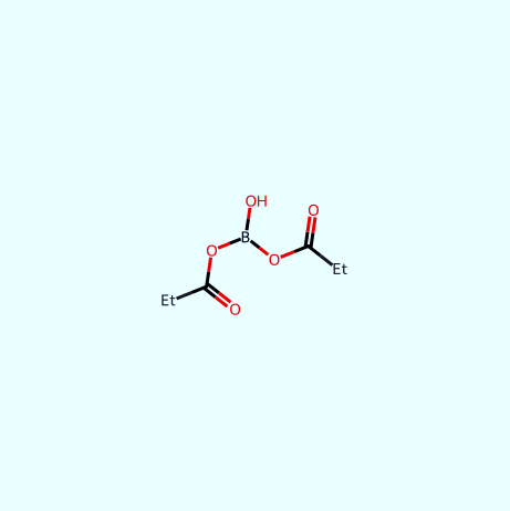 CCC(=O)OB(O)OC(=O)CC